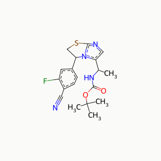 CC(NC(=O)OC(C)(C)C)c1cnc2n1C(c1ccc(C#N)c(F)c1)CS2